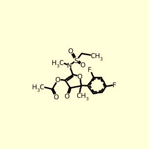 CCS(=O)(=O)N(C)C1=C(OC(C)=O)C(=O)C(C)(c2ccc(F)cc2F)O1